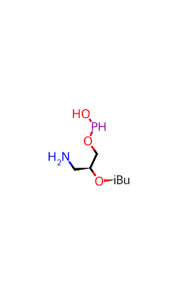 CC[C@H](C)O[C@@H](CN)COPO